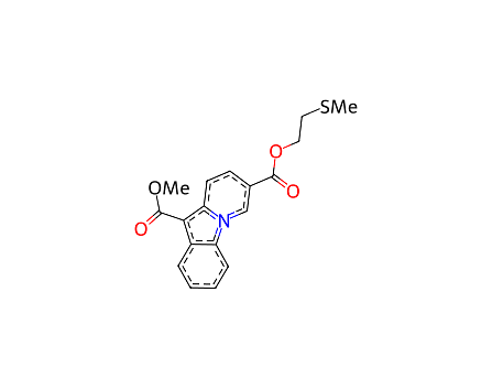 COC(=O)c1c2ccccc2n2cc(C(=O)OCCSC)ccc12